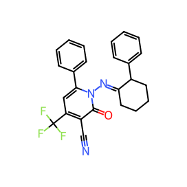 N#Cc1c(C(F)(F)F)cc(-c2ccccc2)n(N=C2CCCCC2c2ccccc2)c1=O